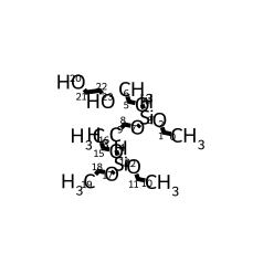 CCO[SiH](OCC)OCC.CCO[SiH](OCC)OCC.OCCO